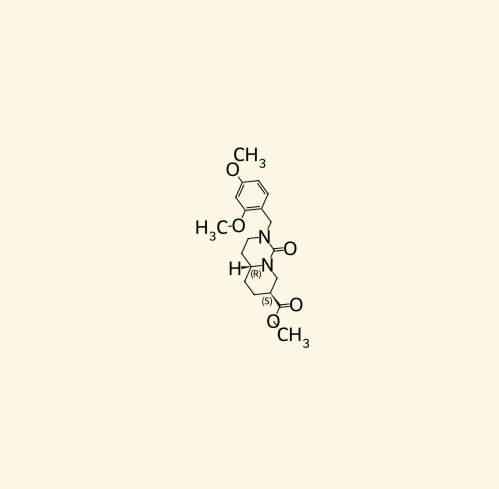 COC(=O)[C@H]1CC[C@@H]2CCN(Cc3ccc(OC)cc3OC)C(=O)N2C1